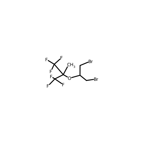 CC(OC(CBr)CBr)(C(F)(F)F)C(F)(F)F